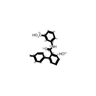 Cc1ccc(-c2ccccc2C(=O)Nc2cccc(C(=O)O)c2)cc1.Cl